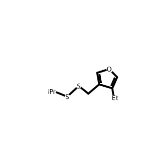 CCc1cocc1CSSC(C)C